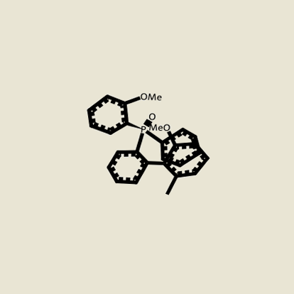 COc1ccccc1[P@@](=O)(c1ccccc1)c1ccccc1-c1c(C)cccc1OC